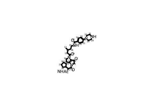 CC(=O)NC(C(=O)N1CC(=O)C2C1CCN2C(=O)CC(C)CCNC(=O)c1ccc(N2CCNCC2)cc1)C1CCCC1